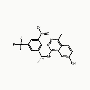 Cc1nnc(N[C@H](C)c2cc([N+](=O)[O-])cc(C(F)(F)F)c2)c2cc(O)ccc12